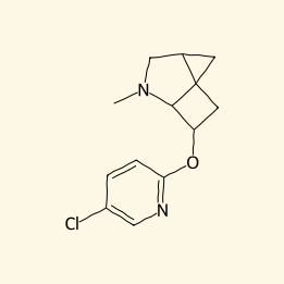 CN1CC2CC23CC(Oc2ccc(Cl)cn2)C13